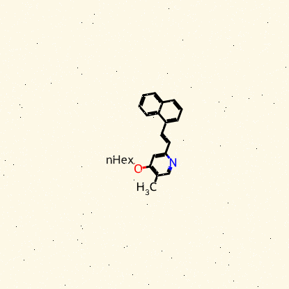 CCCCCCOc1cc(C=Cc2cccc3ccccc23)ncc1C